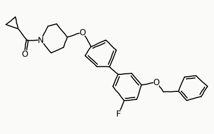 O=C(C1CC1)N1CCC(Oc2ccc(-c3cc(F)cc(OCc4ccccc4)c3)cc2)CC1